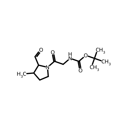 CC1CCN(C(=O)CNC(=O)OC(C)(C)C)C1C=O